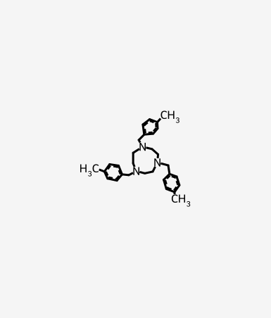 Cc1ccc(CN2CCN(Cc3ccc(C)cc3)CCN(Cc3ccc(C)cc3)CC2)cc1